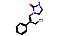 N#CCC(=CN1CCNC1=O)c1ccccc1